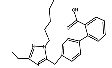 CCCCCn1nc(CC)nc1Cc1ccc(-c2ccccc2C(=O)O)cc1